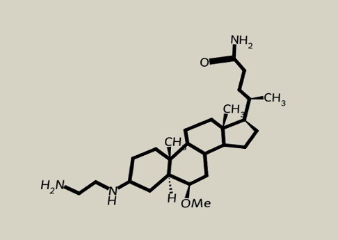 CO[C@@H]1CC2C3CC[C@H]([C@H](C)CCC(N)=O)[C@@]3(C)CCC2[C@@]2(C)CCC(NCCN)C[C@H]12